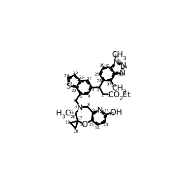 CCOC(=O)CC(c1cc(CN2Cc3nc(O)ccc3OC3(CC3)[C@@H]2C)c2sccc2c1)c1ccc2c(nnn2C)c1C